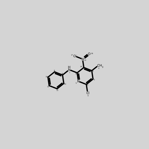 Cc1cc(Cl)nc(Nc2c[c]ccc2)c1[N+](=O)[O-]